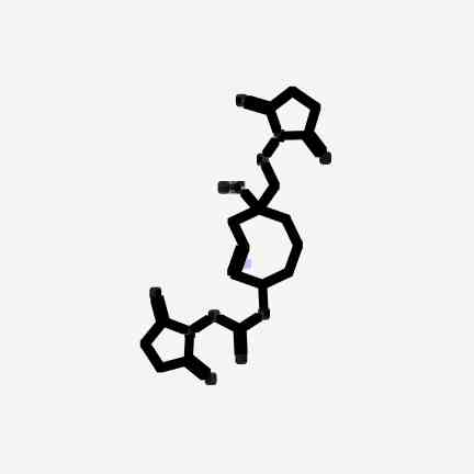 O=CC1(CON2C(=O)CCC2=O)C/C=C/C(OC(=O)ON2C(=O)CCC2=O)CCC1